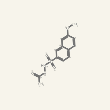 COc1ccc2ccc(S(=O)(=O)NOC(C)=O)cc2c1